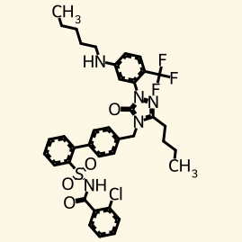 CCCCCNc1ccc(C(F)(F)F)c(-n2nc(CCCC)n(Cc3ccc(-c4ccccc4S(=O)(=O)NC(=O)c4ccccc4Cl)cc3)c2=O)c1